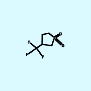 O=S1(=O)CCC(C(F)(F)F)C1